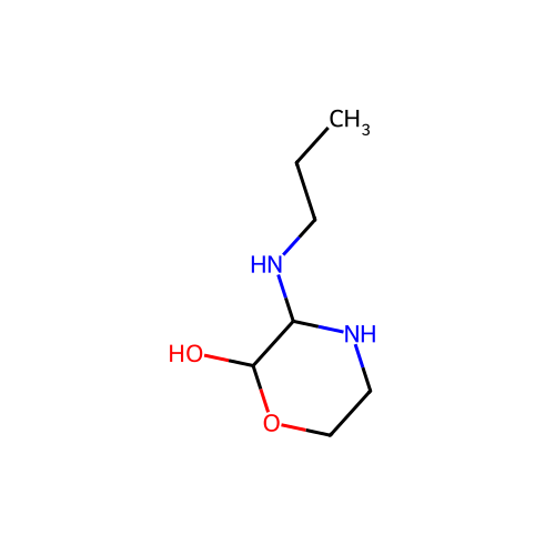 CCCNC1NCCOC1O